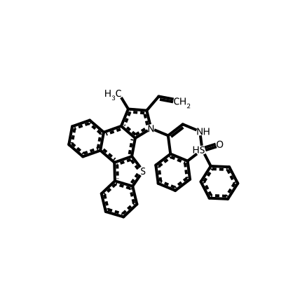 C=Cc1c(C)c2c3ccccc3c3c4ccccc4sc3c2n1C1=CN[SH](=O)(c2ccccc2)c2ccccc21